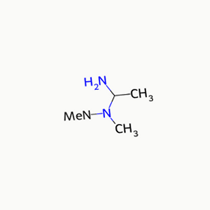 CNN(C)C(C)N